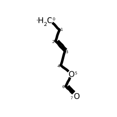 [CH2]CC=CCOC=O